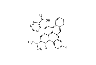 CC(C)C1C=c2ccc3c(c2C(c2ccc(F)cc2)C1=O)C(=O)C=c1ccccc1=3.O=C(O)c1cncnn1